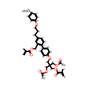 C=C(C)C(=O)OCc1cc(CCCOc2ccc(CCCCCC)cc2)ccc1-c1ccc(OCC(COC(=O)C(=C)C)(COC(=O)C(C)=O)COC(=O)C(C)=O)cc1